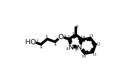 Cc1c(OCCCO)nn2ccccc12